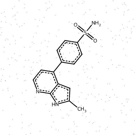 Cc1cc2c(-c3ccc(S(N)(=O)=O)cc3)ccnc2[nH]1